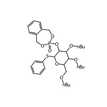 CCCCOCC1OC(Sc2ccccc2)C(OP2(=O)OCc3ccccc3CO2)C(OCCCC)C1OCCCC